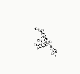 C[C@@H]1CN(c2nc(=O)n3c4c(c(-c5cc(Cl)c(F)cc5F)c(Cl)cc24)SC[C@@H]3CN2CCn3c(nnc3C(F)(F)F)C2)[C@@H](C)CN1C(=O)OC(C)(C)C